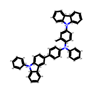 Cc1cc(-n2c3ccccc3c3ccccc32)ccc1N(c1ccccc1)c1ccc(-c2ccc3c(c2)c2ccccc2n3-c2ccccc2)cc1